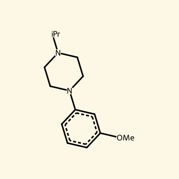 COc1cccc(N2CCN(C(C)C)CC2)c1